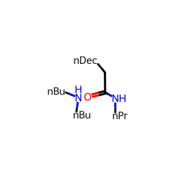 CCCCCCCCCCCC(=O)NCCC.CCCCNCCCC